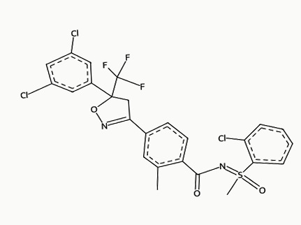 Cc1cc(C2=NOC(c3cc(Cl)cc(Cl)c3)(C(F)(F)F)C2)ccc1C(=O)N=S(C)(=O)c1ccccc1Cl